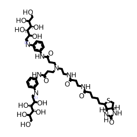 O=C(CCCCC1SC[C@H]2NC(=O)N[C@@H]12)NCCC(=O)NCCN(CCC(=O)Nc1cccc(/N=C\C(O)[C@H](O)[C@H](O)C(O)CO)c1)CCC(=O)Nc1cccc(/N=C/C(O)[C@H](O)[C@H](O)C(O)CO)c1